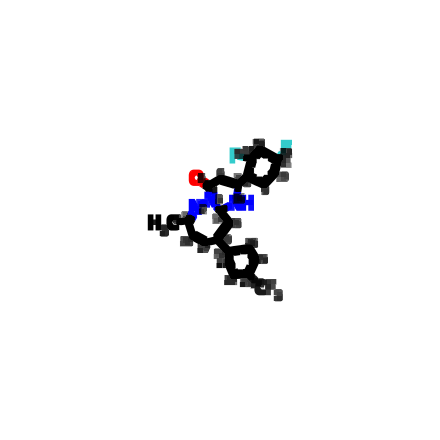 CC1=NN2C(=O)C=C(c3ccc(F)cc3F)NC2C=C(c2ccc(C(F)(F)F)cc2)C=C1